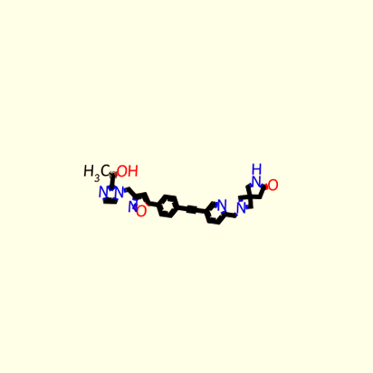 C[C@H](O)c1nccn1Cc1cc(-c2ccc(C#Cc3ccc(CN4CC5(CNC(=O)C5)C4)nc3)cc2)on1